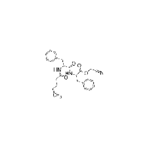 C=CCCC(=O)NC(Cc1ccccc1)C(=O)NC(Cc1ccccc1)C(=O)OCC#N